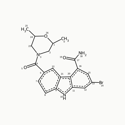 CC1CN(C(=O)c2ccc3[nH]c4cc(Br)cc(C(N)=O)c4c3c2)CC(C)O1